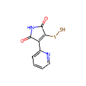 O=C1NC(=O)C(c2ccccn2)=C1SS